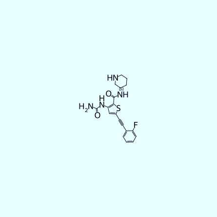 NC(=O)Nc1cc(C#Cc2ccccc2F)sc1C(=O)N[C@H]1CCCNC1